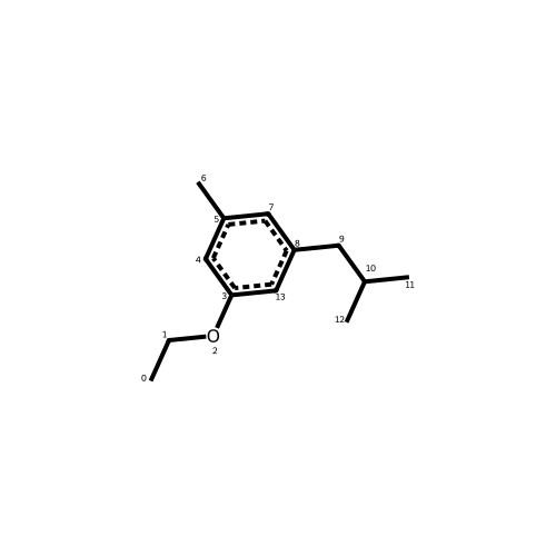 CCOc1cc(C)cc(CC(C)C)c1